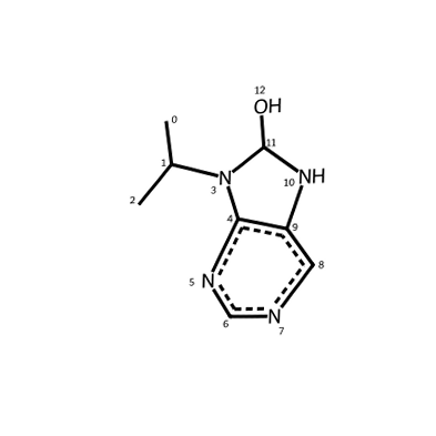 CC(C)N1c2ncncc2NC1O